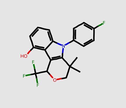 CC1(C)COC(C(F)(F)F)c2c1n(-c1ccc(F)cc1)c1cccc(O)c21